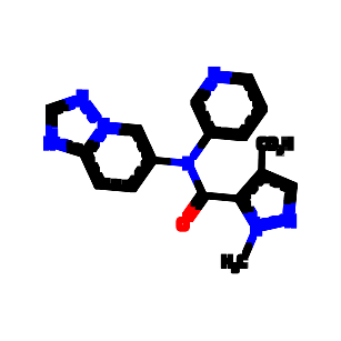 Cn1ncc(C(=O)O)c1C(=O)N(c1cccnc1)c1ccc2ncnn2c1